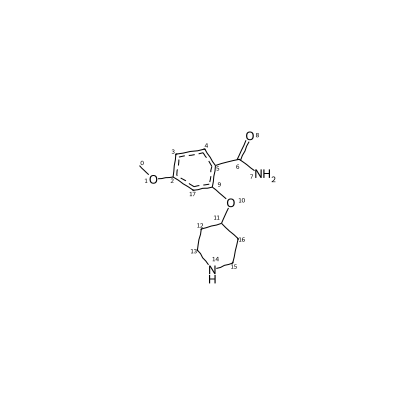 COc1ccc(C(N)=O)c(OC2CCNCC2)c1